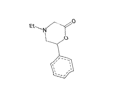 CCN1CC(=O)OC(c2ccccc2)C1